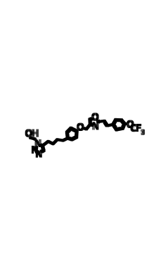 OCCn1nncc1CCCCc1ccc(OCc2coc(C=Cc3ccc(OC(F)(F)F)cc3)n2)cc1